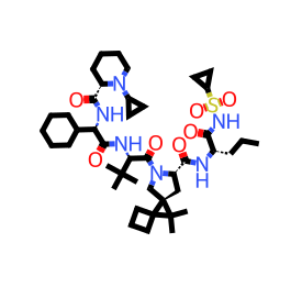 CCC[C@H](NC(=O)[C@@H]1C[C@@]2(CN1C(=O)[C@@H](NC(=O)[C@@H](NC(=O)[C@@H]1CCCCN1C1CC1)C1CCCCC1)C(C)(C)C)C(C)(C)C21CCC1)C(=O)NS(=O)(=O)C1CC1